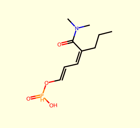 CCC/C(=C/C=C/O[PH](=O)O)C(=O)N(C)C